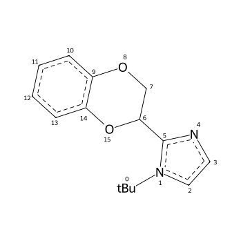 CC(C)(C)n1ccnc1C1COc2ccccc2O1